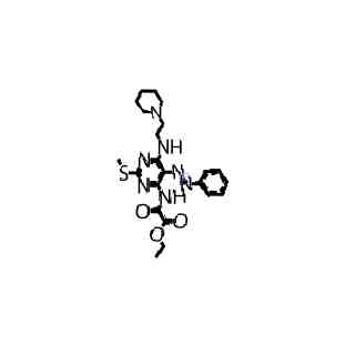 CCOC(=O)C(=O)Nc1nc(SC)nc(NCCN2CCCCC2)c1/N=N/c1ccccc1